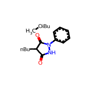 CCCCC1C(=O)NN(c2ccccc2)C1=O.COCC(C)C